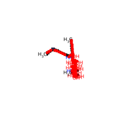 CCCCCCCC/C=C\CCCCCCCCCCCCCCCC(=O)N[C@@H](CO[C@@H]1OC(CO)[C@@H](O[C@@H]2OC(CO)[C@H](O[C@@H]3OC(CO)[C@H](O)[C@H](O[C@@H]4OC(CO)[C@H](O)[C@H](O)C4O)C3NC(C)=O)[C@H](O)C2O)[C@H](O)C1O)[C@H](O)/C=C/CCCCCCCCCCCCC